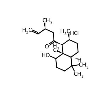 C=C[C@@H](C)CC(=O)[C@H]1[C@@H](C)CC[C@H]2C(C)(C)CCC(O)[C@]12C.Cl